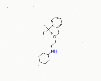 FC(F)(F)c1ccccc1COCCNC1CCCCC1